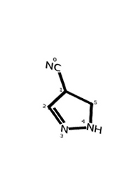 N#CC1[C]=NNC1